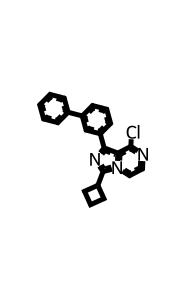 Clc1nccn2c(C3CCC3)nc(-c3cccc(-c4ccccc4)c3)c12